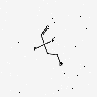 O=CC(F)(F)CCBr